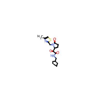 Cc1csc(CN2C(=O)CCC2C(=O)C(=O)NCC2CCCC2)n1